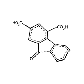 O=C(O)c1cc(C(=O)O)c2c(c1)C(=O)c1ccccc1-2